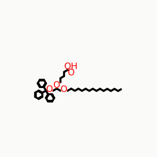 CCCCCCCCCCCCCCCCOCC(COC(c1ccccc1)(c1ccccc1)c1ccccc1)OCCCCC(=O)O